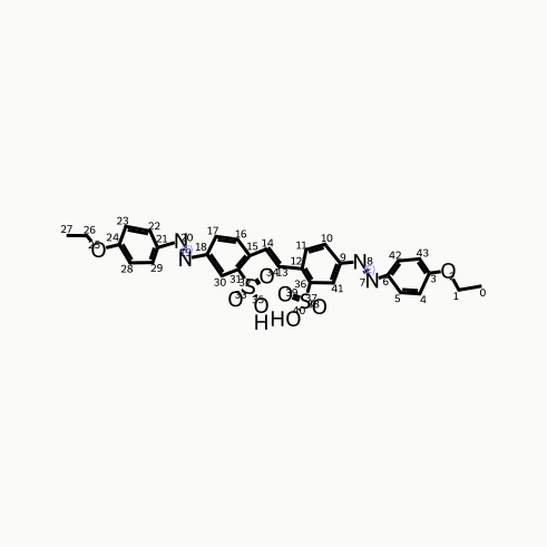 CCOc1ccc(/N=N/c2ccc(C=Cc3ccc(/N=N/c4ccc(OCC)cc4)cc3S(=O)(=O)O)c(S(=O)(=O)O)c2)cc1